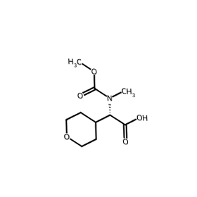 COC(=O)N(C)[C@H](C(=O)O)C1CCOCC1